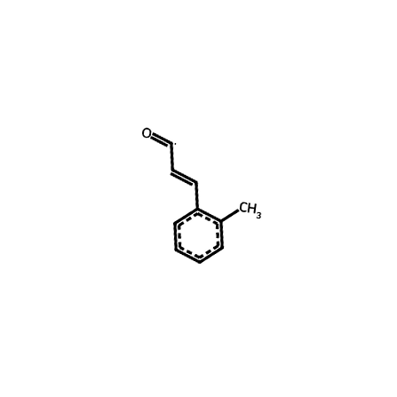 Cc1ccccc1C=C[C]=O